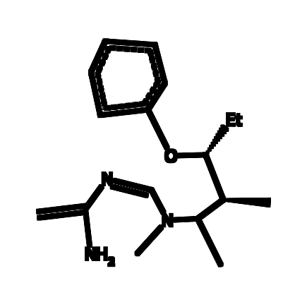 C=C(N)/N=C\N(C)C(C)[C@H](C)[C@@H](CC)Oc1ccccc1